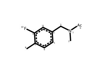 CC(=O)N(C)Cc1ccc(C)c(F)c1